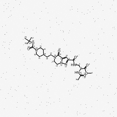 COC(=O)[C@H](CNC(=O)c1cc2n(n1)CCN(CCC1CCN(C(=O)OC(C)(C)C)CC1)C2=O)NC(C)=O